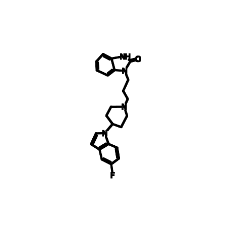 O=c1[nH]c2ccccc2n1CCCN1CCC(n2ccc3cc(F)ccc32)CC1